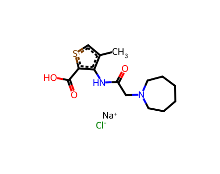 Cc1csc(C(=O)O)c1NC(=O)CN1CCCCCC1.[Cl-].[Na+]